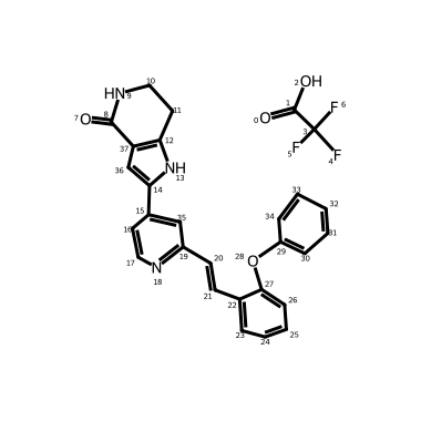 O=C(O)C(F)(F)F.O=C1NCCc2[nH]c(-c3ccnc(C=Cc4ccccc4Oc4ccccc4)c3)cc21